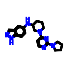 c1cc(N2CCCC(Nc3ccc4[nH]ncc4c3)C2)nc(N2CCCC2)n1